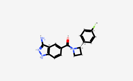 Nc1n[nH]c2ccc(C(=O)N3CC[C@H]3c3ccc(F)cc3)cc12